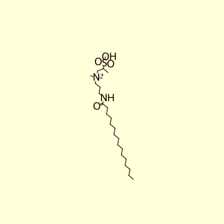 CCCCCCCCCCCCCCCC(=O)NCCC[N+](C)(C)CC(C)S(=O)(=O)O